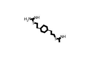 CC(=N)SCCC[C@H]1CC[C@@H](CCSC(=N)N)CC1